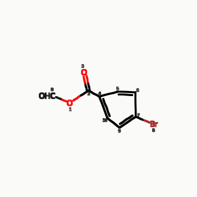 O=COC(=O)c1ccc(Br)cc1